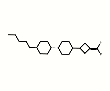 CCCCC[C@H]1CC[C@H](C2CCC(C3CC(=C(F)F)C3)CC2)CC1